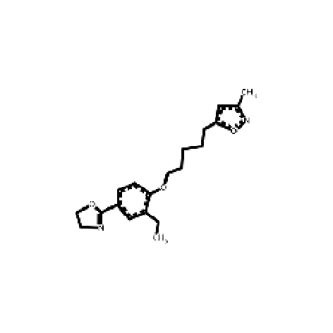 CCc1cc(C2=NCCO2)ccc1OCCCCCc1cc(C)no1